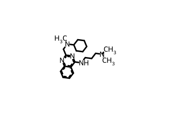 CN(C)CCCNc1nc(CN(C)C2CCCCC2)nc2ccccc12